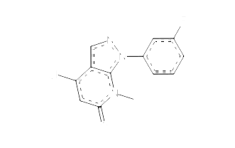 Cn1c(=O)cc(Cl)c2cnn(-c3cccc(F)c3)c21